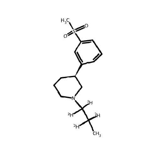 [2H]C([2H])(C)C([2H])([2H])N1CCC[C@@H](c2cccc(S(C)(=O)=O)c2)C1